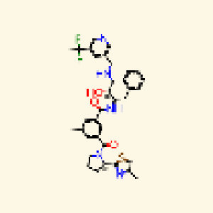 Cc1cc(C(=O)N[C@@H](Cc2ccccc2)[C@H](O)CNCc2cncc(C(C)(F)F)c2)cc(C(=O)N2CCC[C@@H]2c2nc(C)cs2)c1